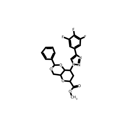 COC(=O)C1CC(n2cc(-c3cc(F)c(F)c(F)c3)nn2)C2OC(c3ccccc3)OCC2O1